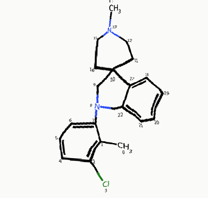 Cc1c(Cl)cccc1N1CC2(CCN(C)CC2)c2ccccc21